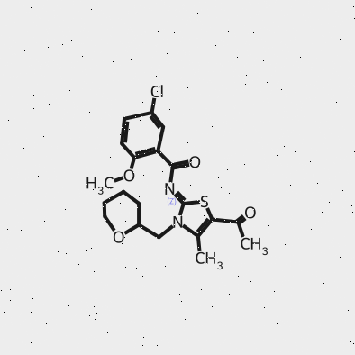 COc1ccc(Cl)cc1C(=O)/N=c1\sc(C(C)=O)c(C)n1CC1CCCCO1